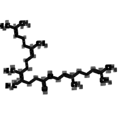 CC(C)=CCCC(C)=CCCC(C)=C(C)CCC(=O)OC/C=C(\C)CCC=C(C)C